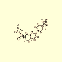 CC1CN(C(=O)N2CCc3ccc(-c4ccc(C(F)(F)F)cc4)cc3C2)C1